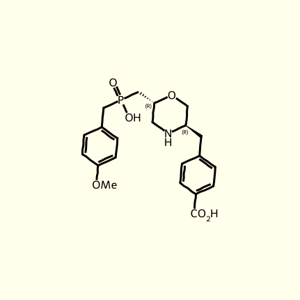 COc1ccc(CP(=O)(O)C[C@H]2CN[C@H](Cc3ccc(C(=O)O)cc3)CO2)cc1